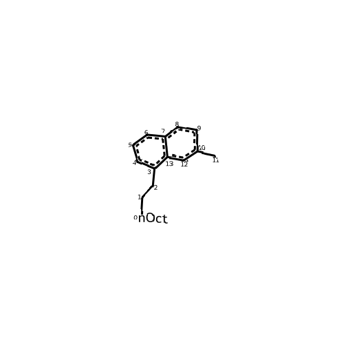 CCCCCCCCCCc1cccc2ccc(C)[c]c12